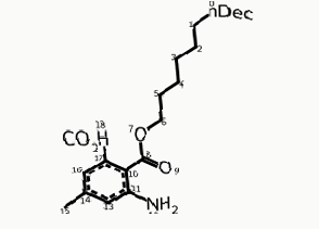 CCCCCCCCCCCCCCCCOC(=O)c1c(N)cc(C)cc1C(=O)O